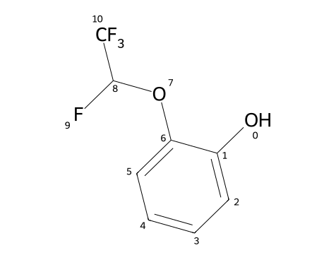 Oc1ccccc1OC(F)C(F)(F)F